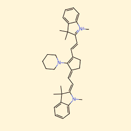 CN1/C(=C/C=C2\CCC(/C=C/C3=[N+](C)c4ccccc4C3(C)C)=C2N2CCCCC2)C(C)(C)c2ccccc21